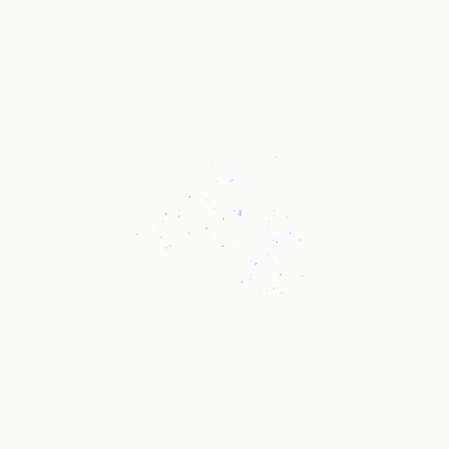 O=C(NCC1CC1)c1cc2cc(Br)ccc2c(Br)c1NC(=O)c1cc(C(F)(F)F)nn1-c1ncccc1Cl